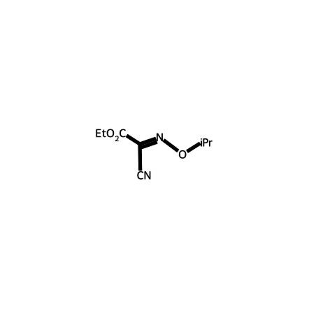 CCOC(=O)C(C#N)=NOC(C)C